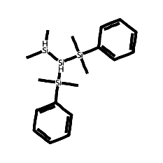 C[SiH](C)[SiH]([Si](C)(C)c1ccccc1)[Si](C)(C)c1ccccc1